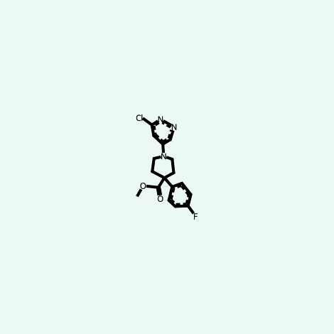 COC(=O)C1(c2ccc(F)cc2)CCN(c2cnnc(Cl)c2)CC1